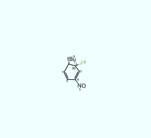 CC(C)(C)[C@]1(F)C=C(N=O)C=CC1